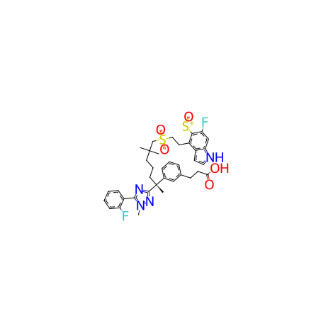 Cn1nc([C@](C)(CCCC(C)(C)CS(=O)(=O)CCc2c([S+]=O)c(F)cc3[nH]ccc23)c2cccc(CCC(=O)O)c2)nc1-c1ccccc1F